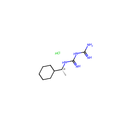 C[C@@H](NC(=N)NC(=N)N)C1CCCCC1.Cl